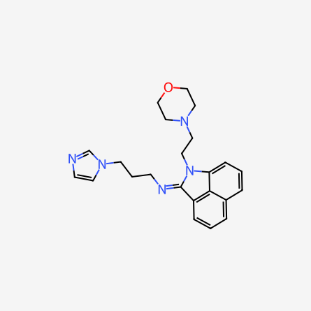 c1cc2c3c(cccc3c1)N(CCN1CCOCC1)C2=NCCCn1ccnc1